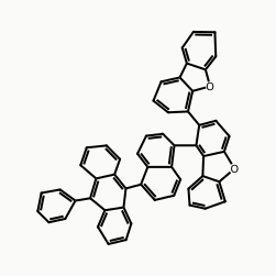 c1ccc(-c2c3ccccc3c(-c3cccc4c(-c5c(-c6cccc7c6oc6ccccc67)ccc6oc7ccccc7c56)cccc34)c3ccccc23)cc1